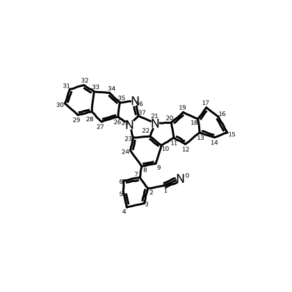 N#Cc1ccccc1-c1cc2c3cc4ccccc4cc3n3c2c(c1)n1c2cc4ccccc4cc2nc13